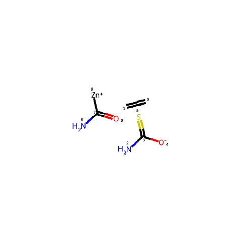 C=C.NC([O-])=S.N[C](=O)[Zn+]